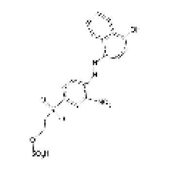 O=[N+]([O-])c1cc(S(=O)(=O)CCOS(=O)(=O)O)ccc1N=Nc1ccc(O)c2ccccc12